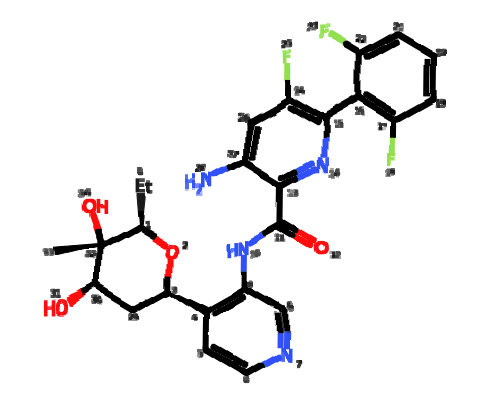 CC[C@H]1O[C@@H](c2ccncc2NC(=O)c2nc(-c3c(F)cccc3F)c(F)cc2N)C[C@@H](O)[C@]1(C)O